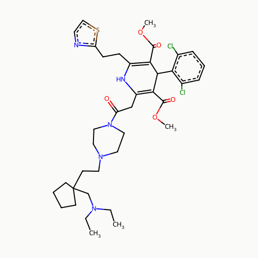 CCN(CC)CC1(CCN2CCN(C(=O)CC3=C(C(=O)OC)C(c4c(Cl)cccc4Cl)C(C(=O)OC)=C(CCc4nccs4)N3)CC2)CCCC1